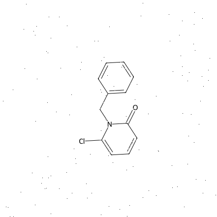 O=c1cccc(Cl)n1Cc1ccccc1